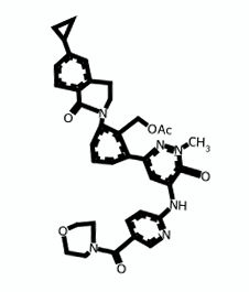 CC(=O)OCc1c(-c2cc(Nc3ccc(C(=O)N4CCOCC4)cn3)c(=O)n(C)n2)cccc1N1CCc2cc(C3CC3)ccc2C1=O